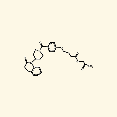 NC(=O)CNC(=O)CCCOc1ccc(C(=O)N2CCC(N3C(=O)CCc4ccccc43)CC2)cc1